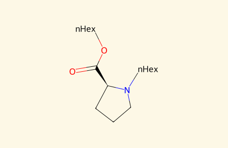 CCCCCCOC(=O)[C@@H]1CCCN1CCCCCC